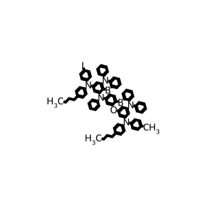 CCCCc1ccc(N(c2ccc(C)cc2)c2cc3c4c(c2)N(c2ccccc2)c2ccccc2B4c2cc4c(cc2O3)N(c2ccccc2)c2cc(N(c3ccc(I)cc3)c3ccc(CCCC)cc3)cc3c2B4c2ccccc2N3c2ccccc2)cc1